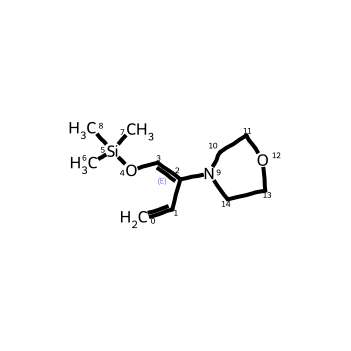 C=C/C(=C\O[Si](C)(C)C)N1CCOCC1